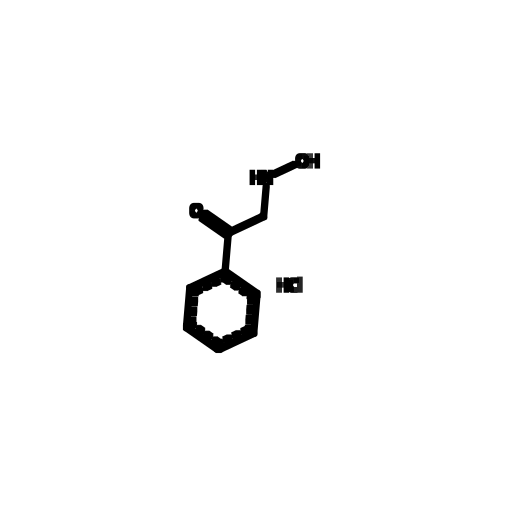 Cl.O=C(CNO)c1ccccc1